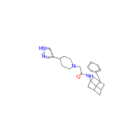 O=C(CN1CCC(c2cn[nH]c2)CC1)NC12CC3CC4CC(c5ccccc5)(C1)C342